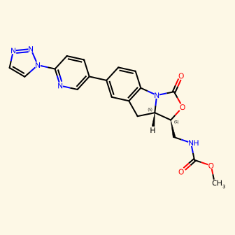 COC(=O)NC[C@@H]1OC(=O)N2c3ccc(-c4ccc(-n5ccnn5)nc4)cc3C[C@@H]12